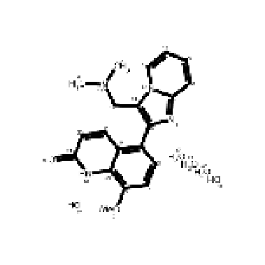 COc1ccc(-c2nc3ccccn3c2CN(C)C)c2ccc(=O)[nH]c12.Cl.Cl.O.O.O